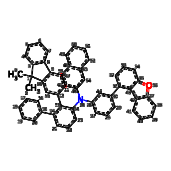 CC1(C)c2ccccc2-c2ccc(-c3c(-c4ccccc4)cccc3N(c3cccc(-c4cccc5oc6ccccc6c45)c3)c3ccc4ccccc4c3)cc21